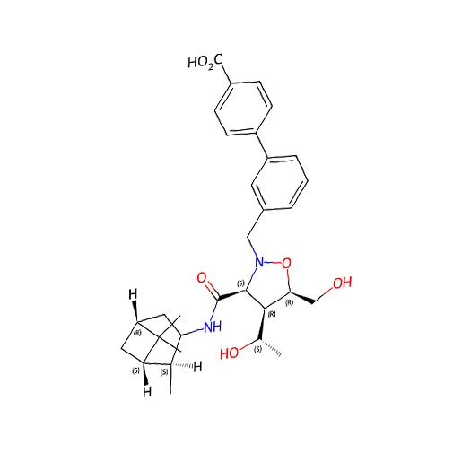 C[C@H](O)[C@@H]1[C@H](CO)ON(Cc2cccc(-c3ccc(C(=O)O)cc3)c2)[C@@H]1C(=O)NC1C[C@H]2C[C@@H]([C@@H]1C)C2(C)C